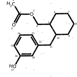 CC(=O)OCC1CCCCC1Cc1cccc(O)c1